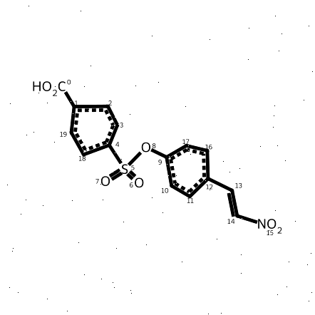 O=C(O)c1ccc(S(=O)(=O)Oc2ccc(C=C[N+](=O)[O-])cc2)cc1